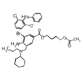 CCCN(Cc1cc(C(=O)OCCCCOC(C)=O)cc(Br)c1N)C1CCCCC1.Clc1cccc(Cl)c1Nc1ccccc1